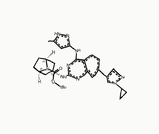 Cc1cc(Nc2nc(N[C@@H]3C[C@H]4CC[C@@H](C3)N4C(=O)OC(C)(C)C)nc3cc(-c4cnn(C5CC5)c4)ccc23)n[nH]1